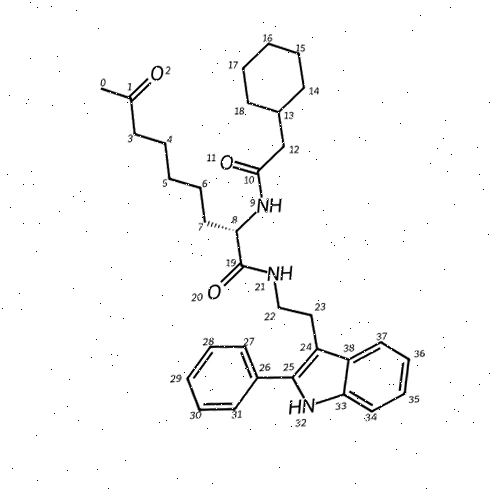 CC(=O)CCCCC[C@H](NC(=O)CC1CCCCC1)C(=O)NCCc1c(-c2ccccc2)[nH]c2ccccc12